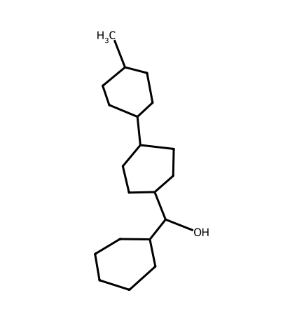 CC1CCC(C2CCC(C(O)C3CCCCC3)CC2)CC1